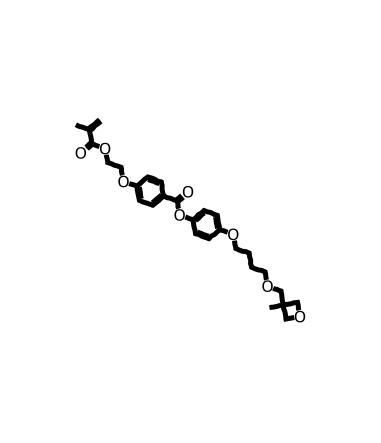 C=C(C)C(=O)OCCOc1ccc(C(=O)Oc2ccc(OCCCCOCC3(C)COC3)cc2)cc1